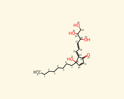 CCCCCCCCC1(O)C=CC(=O)C1=CC=CC(O)C(O)CO